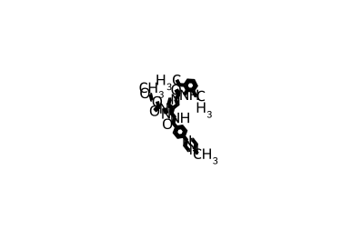 CCc1cccc(CC)c1NC(=O)N1Cc2c(NC(=O)c3ccc(N4CCN(C)CC4)cc3)nn(C(=O)OCCOC)c2C1